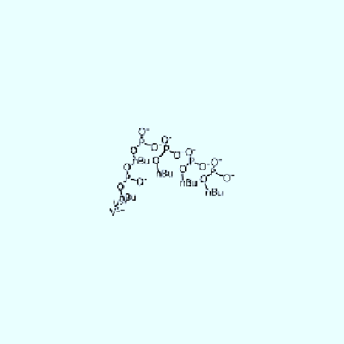 CCCCOP([O-])[O-].CCCCOP([O-])[O-].CCCCOP([O-])[O-].CCCCOP([O-])[O-].CCCCOP([O-])[O-].[V+5].[V+5]